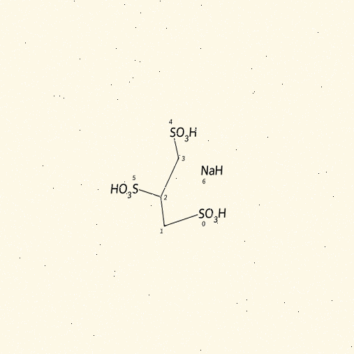 O=S(=O)(O)CC(CS(=O)(=O)O)S(=O)(=O)O.[NaH]